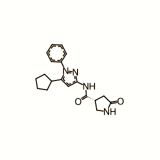 O=C1C[C@@H](C(=O)Nc2cc(C3CCCC3)n(-c3ccccc3)n2)CN1